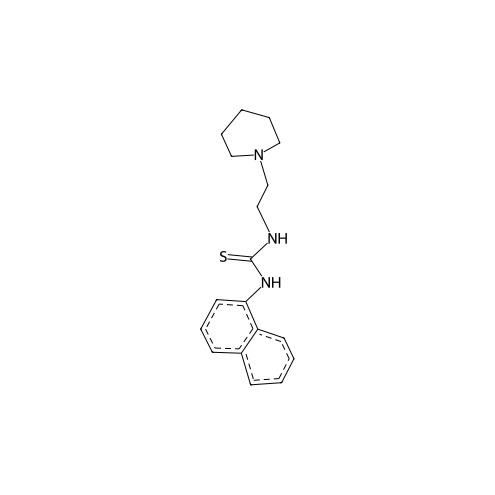 S=C(NCCN1CCCCC1)Nc1cccc2ccccc12